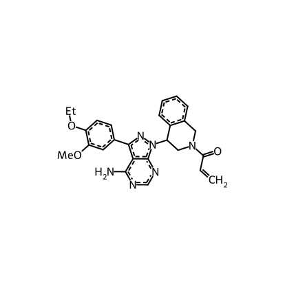 C=CC(=O)N1Cc2ccccc2C(n2nc(-c3ccc(OCC)c(OC)c3)c3c(N)ncnc32)C1